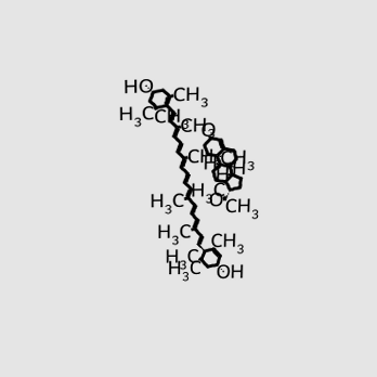 CC(=O)[C@H]1CC[C@H]2[C@@H]3CCC4=CC(=O)CC[C@]4(C)[C@H]3CC[C@]12C.CC1=C[C@H](O)CC(C)(C)[C@H]1/C=C/C(C)=C/C=C/C(C)=C/C=C/C=C(C)/C=C/C=C(C)/C=C/C1=C(C)C[C@@H](O)CC1(C)C